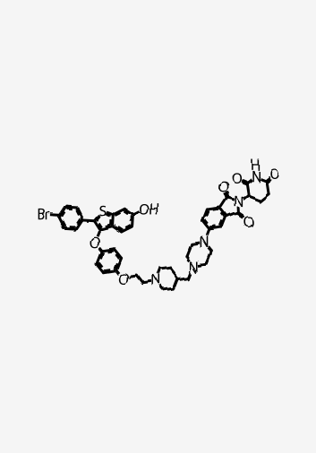 O=C1CCC(N2C(=O)c3ccc(N4CCN(CC5CCN(CCOc6ccc(Oc7c(-c8ccc(Br)cc8)sc8cc(O)ccc78)cc6)CC5)CC4)cc3C2=O)C(=O)N1